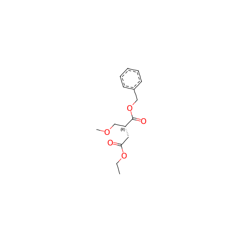 CCOC(=O)C[C@H](COC)C(=O)OCc1ccccc1